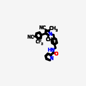 Cc1c(C#N)c(-c2ccc(C#N)c(C(F)(F)F)c2)c(C)n1Cc1ccc(CNC(=O)c2ccccn2)cc1